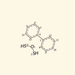 SOS.c1ccc(-c2ccccc2)cc1